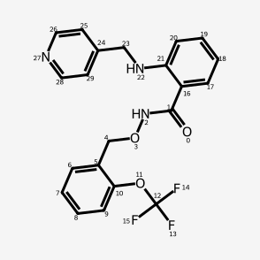 O=C(NOCc1ccccc1OC(F)(F)F)c1ccccc1NCc1ccncc1